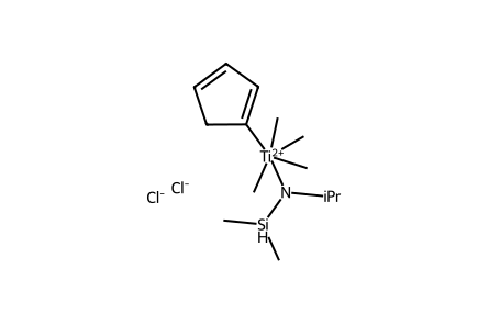 CC(C)[N]([SiH](C)C)[Ti+2]([CH3])([CH3])([CH3])([CH3])[C]1=CC=CC1.[Cl-].[Cl-]